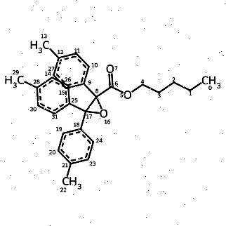 CCCCCOC(=O)C1(c2ccc(C)cc2)OC1(c1ccc(C)cc1)c1ccc(C)cc1